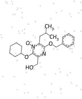 CC(C)Cc1c(OCc2ccccc2)nc(CO)c(OC2CCCCC2)[n+]1[O-]